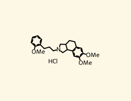 COc1ccccc1CCCN1CC2CCc3cc(OC)c(OC)cc3C2C1.Cl